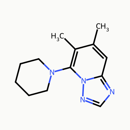 Cc1cc2ncnn2c(N2CCCCC2)c1C